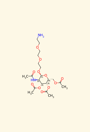 CC(=O)N[C@H]1[C@@H](OCCOCCOCCN)O[C@H](COC(C)=O)[C@H](OC(C)=O)[C@@H]1OC(C)=O